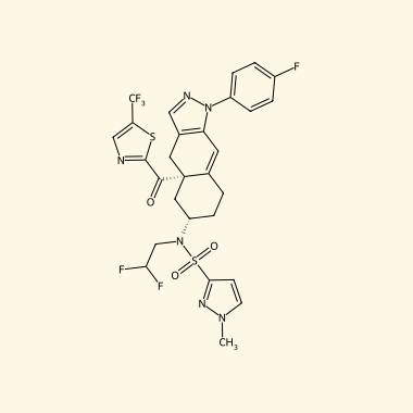 Cn1ccc(S(=O)(=O)N(CC(F)F)[C@H]2CCC3=Cc4c(cnn4-c4ccc(F)cc4)C[C@]3(C(=O)c3ncc(C(F)(F)F)s3)C2)n1